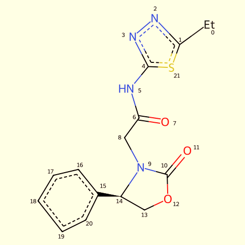 CCc1nnc(NC(=O)CN2C(=O)OC[C@H]2c2ccccc2)s1